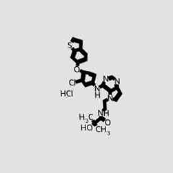 CC(C)(O)C(=O)NCCn1ccc2ncnc(Nc3ccc(Oc4ccc5ccsc5c4)c(Cl)c3)c21.Cl